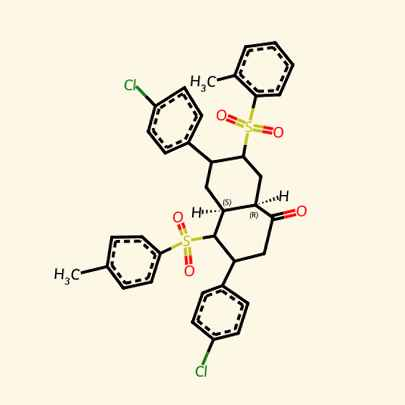 Cc1ccc(S(=O)(=O)C2C(c3ccc(Cl)cc3)CC(=O)[C@@H]3CC(S(=O)(=O)c4ccccc4C)C(c4ccc(Cl)cc4)C[C@H]23)cc1